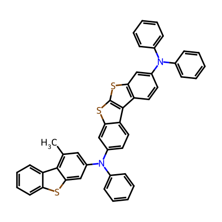 Cc1cc(N(c2ccccc2)c2ccc3c(c2)sc2sc4cc(N(c5ccccc5)c5ccccc5)ccc4c23)cc2sc3ccccc3c12